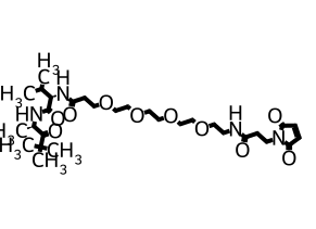 CC(C)[C@H](NC(=O)CCOCCOCCOCCOCCNC(=O)CCN1C(=O)C=CC1=O)C(=O)N[C@@H](C)C(=O)C(C)(C)C